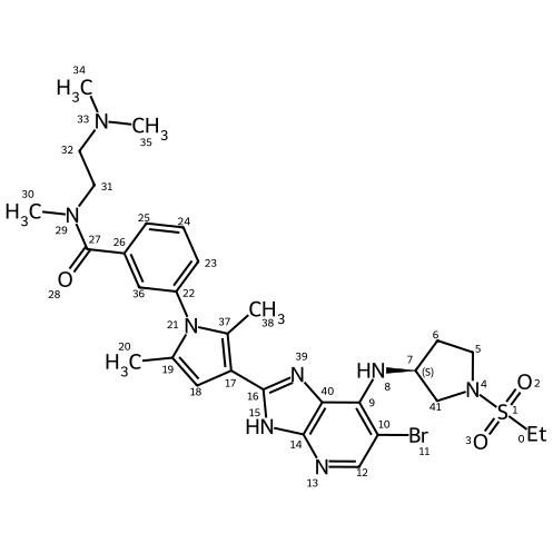 CCS(=O)(=O)N1CC[C@H](Nc2c(Br)cnc3[nH]c(-c4cc(C)n(-c5cccc(C(=O)N(C)CCN(C)C)c5)c4C)nc23)C1